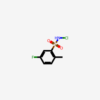 Cc1ccc(F)cc1S(=O)(=O)NCl